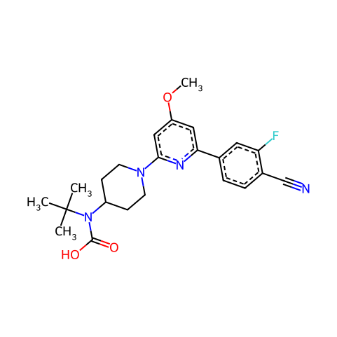 COc1cc(-c2ccc(C#N)c(F)c2)nc(N2CCC(N(C(=O)O)C(C)(C)C)CC2)c1